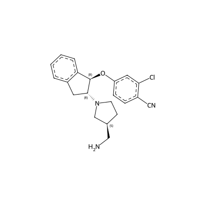 N#Cc1ccc(O[C@@H]2c3ccccc3C[C@H]2N2CC[C@@H](CN)C2)cc1Cl